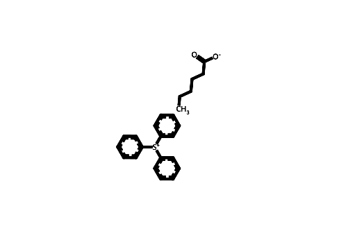 CCCCCC(=O)[O-].c1ccc([S+](c2ccccc2)c2ccccc2)cc1